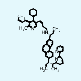 C=C[C@H](c1ccc2c(ccc3cc([C@@H](C=C)NCC/C=C\c4cnc(=C)/c(=C\C=C/C)c4C4=CCCC=C4)ccc32)c1)C(C)C1CC=CC(c2ccccn2)=N1